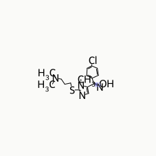 CN(C)CCCSc1ncc(/C(=N/O)c2ccc(Cl)cc2)n1C